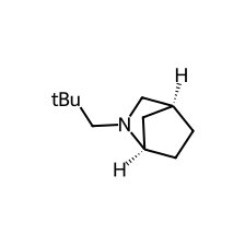 CC(C)(C)CN1C[C@H]2CC[C@@H]1C2